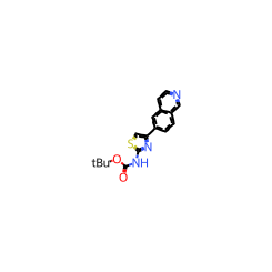 CC(C)(C)OC(=O)Nc1nc(-c2ccc3cnccc3c2)cs1